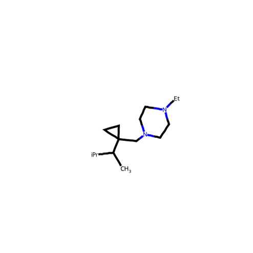 CCN1CCN(CC2(C(C)C(C)C)CC2)CC1